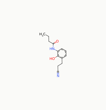 CCCC(=O)Nc1cccc(CCC#N)c1O